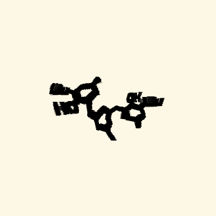 Cc1cc(Cc2cc(C)cc(C(C)(C)C)c2O)cc(Cc2cc(C)cc(C(C)(C)C)c2O)c1